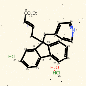 CCOC(=O)/C=C/CC1(Cc2ccncc2)c2ccccc2-c2ccccc21.Cl.Cl.O